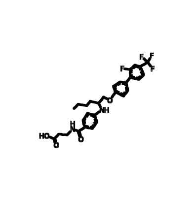 CCCCC(COc1ccc(-c2ccc(C(F)(F)F)cc2F)cc1)Nc1ccc(C(=O)NCCC(=O)O)cc1